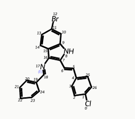 Clc1ccc(C=Cc2[nH]c3cc(Br)ccc3c2/N=C/c2ccccc2)cc1